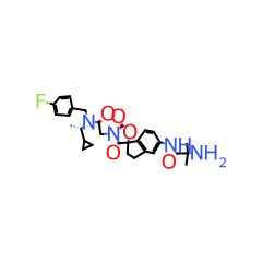 C[C@@H](C1CC1)N(Cc1ccc(F)cc1)C(=O)CN1C(=O)OC2(CCc3cc(NC(=O)C(C)(C)N)ccc32)C1=O